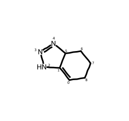 C1=C2NN=NC2CCC1